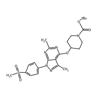 Cc1nc(OC2CCN(C(=O)OC(C)(C)C)CC2)c2c(C)nn(-c3ccc(S(C)(=O)=O)cc3)c2n1